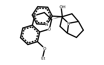 CCOc1cccc2c1O[C@@H](CN1C3CCC1CC(O)(c1ccccn1)C3)CO2